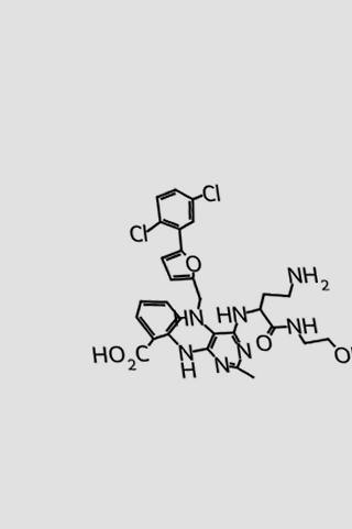 Cc1nc(Nc2ccccc2C(=O)O)c(NCc2ccc(-c3cc(Cl)ccc3Cl)o2)c(NC(CCN)C(=O)NCCO)n1